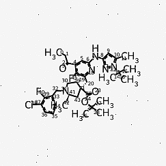 CCC(=O)c1cc(Nc2cc(C)n(C(C)(C)C)n2)nc(C[C@@]2(C(=O)OC(C)(C)C)CCN(Cc3cccc(Cl)c3F)[C@H](C)C2)c1F